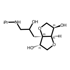 CC(C)NCC(O)C[C@]12OC[C@@H](O)[C@H]1OC[C@@H]2O